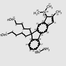 CC(C)(C)N.CCCCCCCCCCCCCCC1(CCCCCCCCCCCCCC)c2ccccc2-c2cc3c(cc21)C([SiH](C)C)C(C)=C3